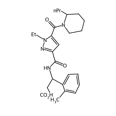 CCCC1CCCCN1C(=O)c1cc(C(=O)NC(CC(=O)O)c2ccccc2C)nn1CC